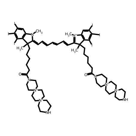 CN1\C(=C/C=C/C=C/C=C/C2=[N+](C)c3cc(I)c(I)c(I)c3C2(C)CCCCCC(=O)N2CC[N+]3(CC2)CC[N+]2(CCNCC2)CC3)C(C)(CCCCCC(=O)N2CC[N+]3(CC2)CC[N+]2(CCNCC2)CC3)c2c1cc(I)c(I)c2I